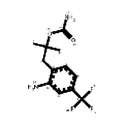 CC(C)(Cc1ccc(C(F)(F)F)cc1N)OC(N)=O